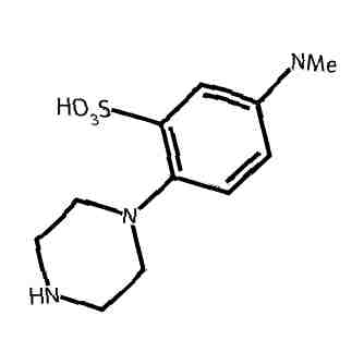 CNc1ccc(N2CCNCC2)c(S(=O)(=O)O)c1